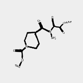 COC(=O)C(=O)N(N)C(=O)C1CCN(C(=O)OC(C)(C)C)CC1